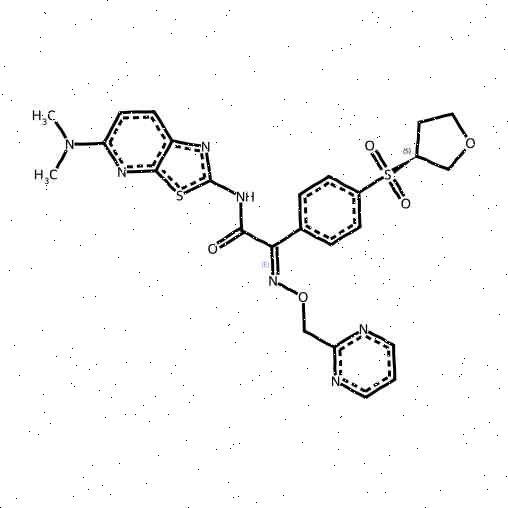 CN(C)c1ccc2nc(NC(=O)/C(=N/OCc3ncccn3)c3ccc(S(=O)(=O)[C@H]4CCOC4)cc3)sc2n1